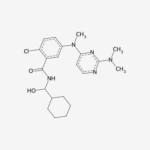 CN(C)c1nccc(N(C)c2ccc(Cl)c(C(=O)NC(O)C3CCCCC3)c2)n1